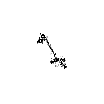 Cc1ncsc1-c1ccc(CNC(=O)[C@@H]2CCCN2C(=O)[C@@H](NC(=O)C2(F)CC2)C(C)(C)C)c(OCC(=O)NCCCCCCNCCCONC(=O)c2ccc(F)c(F)c2Nc2ccc(I)cc2F)c1